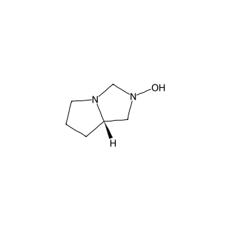 ON1C[C@@H]2CCCN2C1